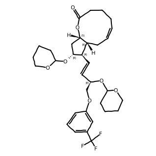 O=C1CCCC=CC[C@@H]2[C@@H](C=C[C@H](COc3cccc(C(F)(F)F)c3)OC3CCCCO3)[C@H](OC3CCCCO3)C[C@@H]2O1